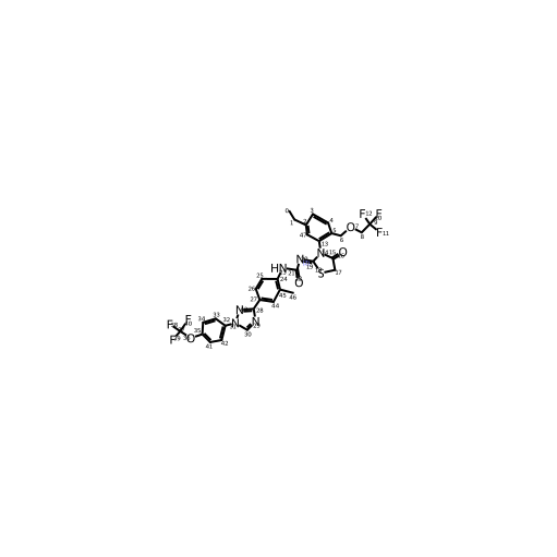 CCc1ccc(COCC(F)(F)F)c(N2C(=O)CS/C2=N\C(=O)Nc2ccc(-c3ncn(-c4ccc(OC(F)(F)F)cc4)n3)cc2C)c1